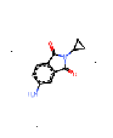 Nc1ccc2c(c1)C(=O)N(C1CC1)C2=O